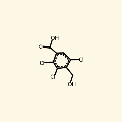 O=C(O)c1cc(Cl)c(CO)c(Cl)c1Cl